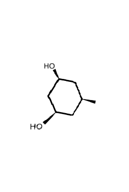 C[C@H]1C[C@@H](O)C[C@@H](O)C1